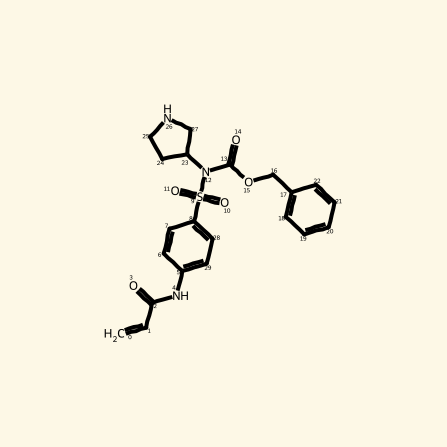 C=CC(=O)Nc1ccc(S(=O)(=O)N(C(=O)OCc2ccccc2)C2CCNC2)cc1